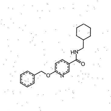 O=C(NCC1CCCCC1)c1ccc(OCc2ccccc2)nc1